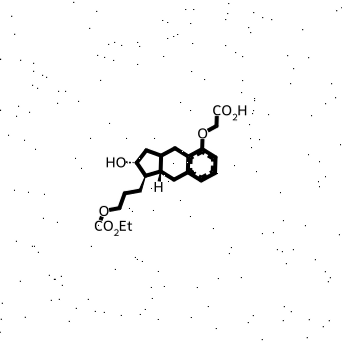 CCOC(=O)OCCC[C@H]1[C@H](O)CC2Cc3c(cccc3OCC(=O)O)C[C@@H]21